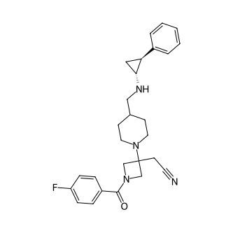 N#CCC1(N2CCC(CN[C@@H]3C[C@H]3c3ccccc3)CC2)CN(C(=O)c2ccc(F)cc2)C1